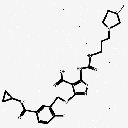 O=C(NCCCN1CC[C@H](F)C1)Nc1snc(OCc2cc(C(=O)NC3CC3)ccc2F)c1C(=O)O